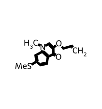 C=CCOc1cn(C)c2cc(SC)ccc2c1=O